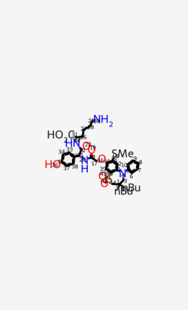 CCCCC1(CCCC)CN(c2ccccc2)c2cc(SC)c(OCC(=O)N[C@@H](C(=O)NC(CCCCN)C(=O)O)c3ccc(O)cc3)cc2S(=O)(=O)C1